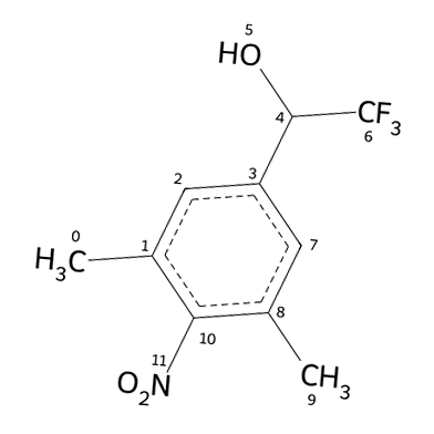 Cc1cc(C(O)C(F)(F)F)cc(C)c1[N+](=O)[O-]